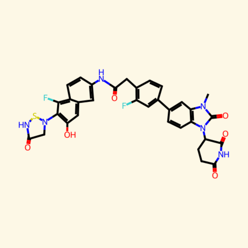 Cn1c(=O)n(C2CCC(=O)NC2=O)c2ccc(-c3ccc(CC(=O)Nc4ccc5c(F)c(N6CC(=O)NS6)c(O)cc5c4)c(F)c3)cc21